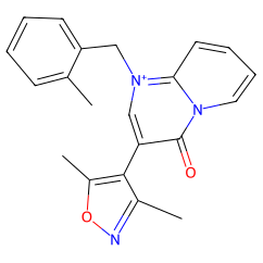 Cc1ccccc1C[n+]1cc(-c2c(C)noc2C)c(=O)n2ccccc21